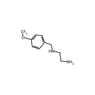 NCCNCc1ccc(OC(F)(F)F)cc1